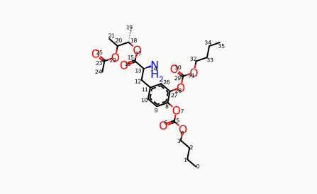 CCCCOC(=O)Oc1ccc(C[C@H](N)C(=O)O[C@@H](C)C(C)OC(C)=O)cc1OC(=O)OCCCC